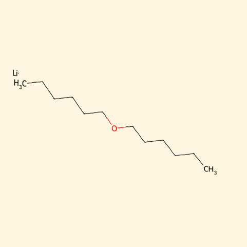 CCCCCCOCCCCCC.[Li]